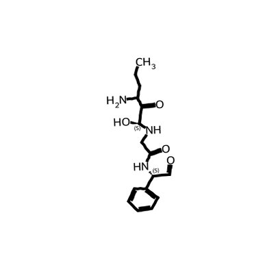 CCCC(N)C(=O)[C@H](O)NCC(=O)N[C@H](C=O)c1ccccc1